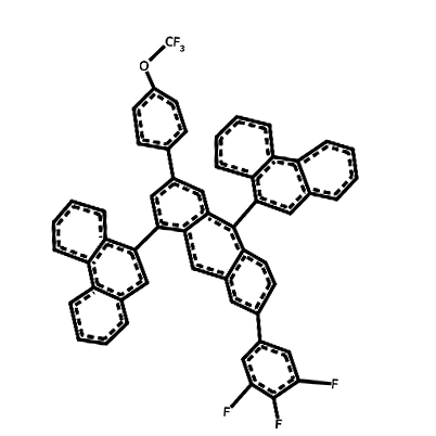 Fc1cc(-c2ccc3c(-c4cc5ccccc5c5ccccc45)c4cc(-c5ccc(OC(F)(F)F)cc5)cc(-c5cc6ccccc6c6ccccc56)c4cc3c2)cc(F)c1F